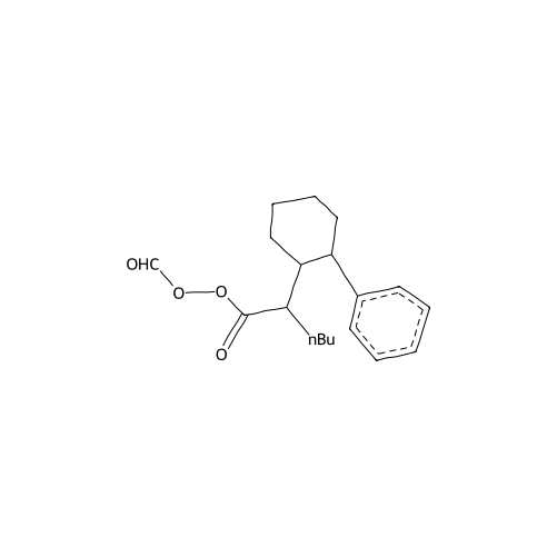 CCCCC(C(=O)OOC=O)C1CCCCC1c1ccccc1